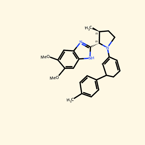 COc1cc2nc([C@@H]3[C@@H](C)CCN3C3=[C]C(c4ccc(C)cc4)CC=C3)[nH]c2cc1OC